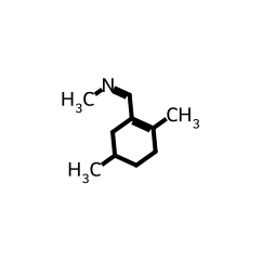 C/N=C\C1=C(C)CCC(C)C1